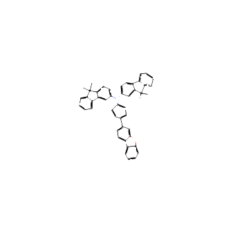 CC1(C)c2ccccc2-c2cc(N(c3ccc(-c4ccc5c(c4)oc4ccccc45)cc3)c3ccc4c(c3)C(C)(C)c3ccccc3-4)ccc21